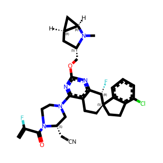 C=C(F)C(=O)N1CCN(c2nc(OC[C@@H]3C[C@H]4C[C@H]4N3C)nc3c2CC[C@@]2(CCc4c(Cl)cccc42)[C@H]3F)C[C@@H]1CC#N